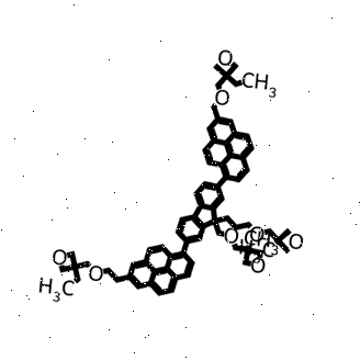 CCC1(COCCc2cc3ccc4ccc(-c5ccc6c(c5)C(CCCOCC5(C)COC5)(COCC5(C)COC5)c5cc(-c7ccc8ccc9cc(COCC%10(CC)COC%10)cc%10ccc7c8c9%10)ccc5-6)c5ccc(c2)c3c45)COC1